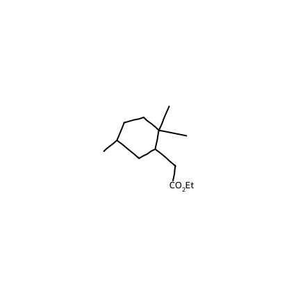 CCOC(=O)CC1CC(C)CCC1(C)C